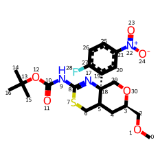 COC[C@H]1CC2CSC(NC(=O)OC(C)(C)C)=N[C@@]2(c2cc([N+](=O)[O-])ccc2F)CO1